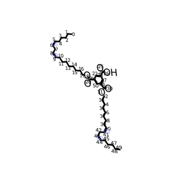 CCCCC/C=C\C/C=C\CCCCCCCCOC(=O)c1cc(C(=O)O)cc(C(=O)OCCCCCCCC/C=C\C/C=C\CCCCC)c1